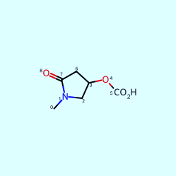 CN1CC(OC(=O)O)CC1=O